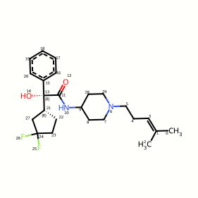 CC(C)=CCCN1CCC(NC(=O)[C@](O)(c2ccccc2)[C@@H]2CCC(F)(F)C2)CC1